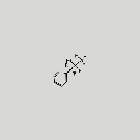 OC(F)(C(F)(F)F)C(F)(F)c1ccccc1